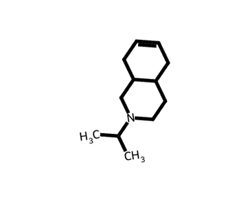 CC(C)N1CCC2CC=CCC2C1